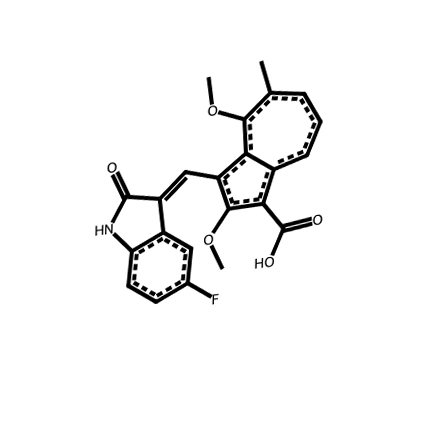 COc1c(C=C2C(=O)Nc3ccc(F)cc32)c2c(OC)c(C)cccc-2c1C(=O)O